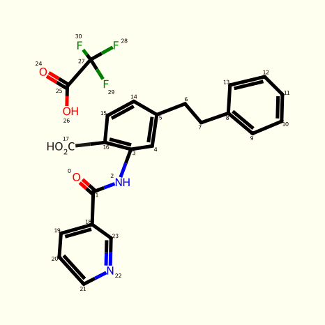 O=C(Nc1cc(CCc2ccccc2)ccc1C(=O)O)c1cccnc1.O=C(O)C(F)(F)F